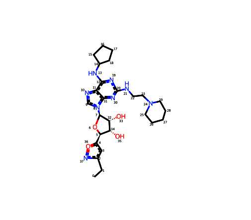 CCc1cc([C@H]2O[C@@H](n3cnc4c(NC5CCCC5)nc(NCCN5CCCCC5)nc43)[C@H](O)[C@@H]2O)on1